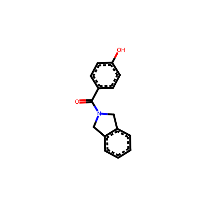 O=C(c1ccc(O)cc1)N1Cc2ccccc2C1